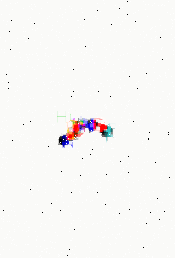 CN(CCN1CCC(Oc2ccc(F)c(F)c2)CC1)S(=O)(=O)c1ccc(-c2ccccn2)s1.Cl